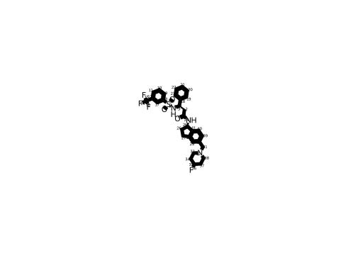 O=C(C[C@@H](NS(=O)(=O)c1cccc(C(F)(F)F)c1)c1ccccc1)N[C@@H]1CCc2cc(CN3CCC(F)CC3)ccc21